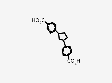 O=C(O)c1ccc(C2CCC(c3ccc(C(=O)O)cc3)C2)cc1